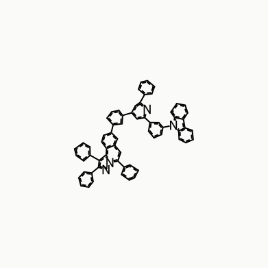 c1ccc(-c2cc(-c3cccc(-c4ccc5c(c4)cc(-c4ccccc4)n4nc(-c6ccccc6)c(-c6ccccc6)c54)c3)cc(-c3cccc(-n4c5ccccc5c5ccccc54)c3)n2)cc1